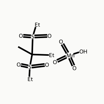 CCC(C)(S(=O)(=O)CC)S(=O)(=O)CC.[O]=[Mn](=[O])(=[O])[OH]